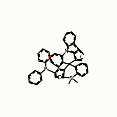 C[Si]1(C)c2ccccc2C2(c3ccccc3-n3c4ccccc4c4cccc2c43)c2cc(P(c3ccccc3)c3ccccc3)ccc21